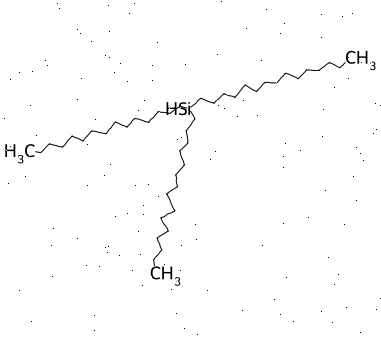 CCCCCCCCCCCCCCC[SiH](CCCCCCCCCCCCCCC)CCCCCCCCCCCCCCC